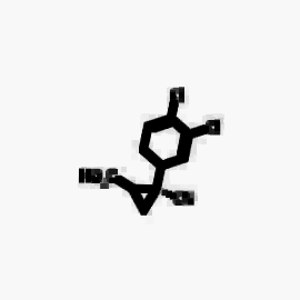 N#C[C@]1(C2C=C(Cl)C(Cl)=CC2)CC1C(=O)O